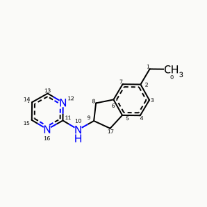 CCc1ccc2c(c1)CC(Nc1nc[c]cn1)C2